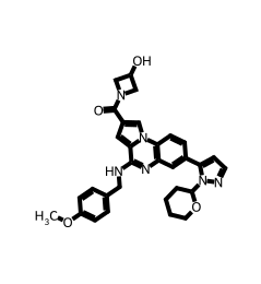 COc1ccc(CNc2nc3cc(-c4ccnn4C4CCCCO4)ccc3n3cc(C(=O)N4CC(O)C4)cc23)cc1